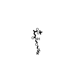 CC(CCC(=O)NCCOCCN=[N+]=[N-])C(=O)OC(C)(C)C